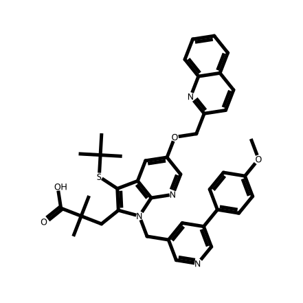 COc1ccc(-c2cncc(Cn3c(CC(C)(C)C(=O)O)c(SC(C)(C)C)c4cc(OCc5ccc6ccccc6n5)cnc43)c2)cc1